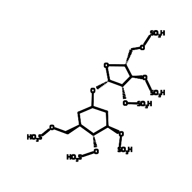 O=S(=O)(O)OC[C@H]1CC(O[C@@H]2O[C@H](COS(=O)(=O)O)[C@@H](OS(=O)(=O)O)[C@@H]2OS(=O)(=O)O)C[C@@H](OS(=O)(=O)O)[C@@H]1OS(=O)(=O)O